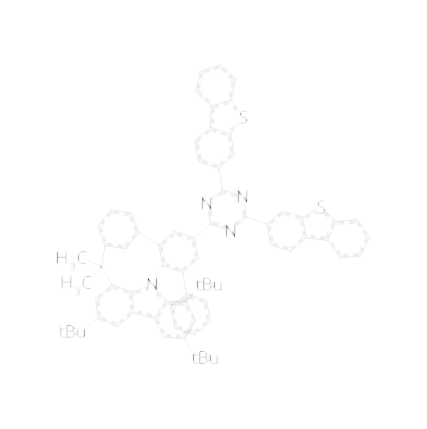 CC(C)(C)c1cc(C(C)(C)C)c2c(c1)c1cc(C(C)(C)C)cc3c1n2-c1c(-c2ccccc2)cc(-c2nc(-c4ccc5c(c4)sc4ccccc45)nc(-c4ccc5c(c4)sc4ccccc45)n2)cc1-c1cccc(c1)C3(C)C